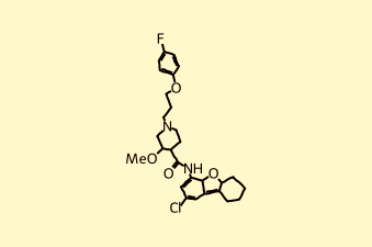 COC1CN(CCCOc2ccc(F)cc2)CCC1C(=O)NC1=CC(Cl)=CC2=C3CCCCC3OC12